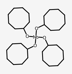 C1CCCC([O][Nb]([O]C2CCCCCCC2)([O]C2CCCCCCC2)[O]C2CCCCCCC2)CCC1